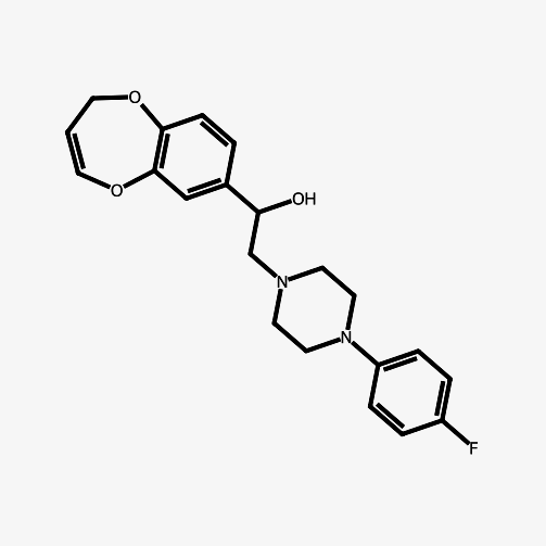 OC(CN1CCN(c2ccc(F)cc2)CC1)c1ccc2c(c1)OC=CCO2